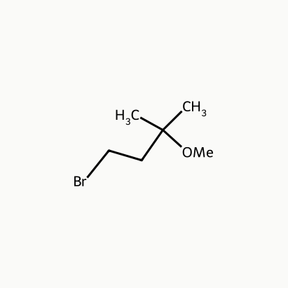 COC(C)(C)CCBr